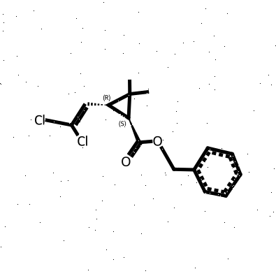 CC1(C)[C@@H](C=C(Cl)Cl)[C@@H]1C(=O)OCc1ccccc1